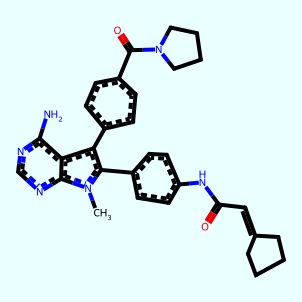 Cn1c(-c2ccc(NC(=O)C=C3CCCC3)cc2)c(-c2ccc(C(=O)N3CCCC3)cc2)c2c(N)ncnc21